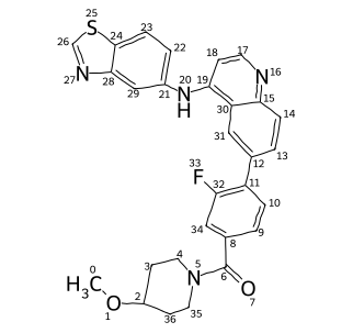 COC1CCN(C(=O)c2ccc(-c3ccc4nccc(Nc5ccc6scnc6c5)c4c3)c(F)c2)CC1